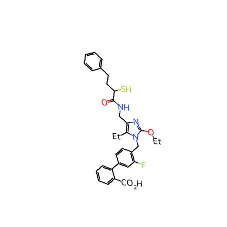 CCOc1nc(CNC(=O)C(S)CCc2ccccc2)c(CC)n1Cc1ccc(-c2ccccc2C(=O)O)cc1F